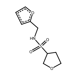 O=S(=O)(NCc1ccco1)C1CCOC1